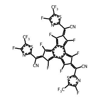 N#CC(=C1C(F)=c2c3c(c4c(c2=C1F)=C(F)C(=C(C#N)c1nc(F)c(C(F)(F)F)s1)C=4F)=C(F)C(=C(C#N)c1nc(F)c(C(F)(F)F)s1)C=3F)c1nc(F)c(C(F)(F)F)s1